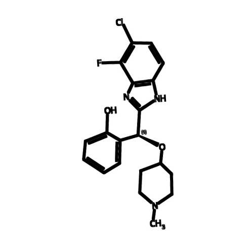 CN1CCC(O[C@H](c2nc3c(F)c(Cl)ccc3[nH]2)c2ccccc2O)CC1